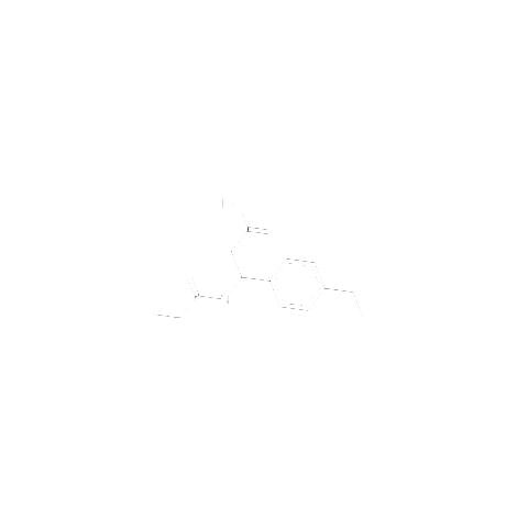 CCC(=O)NC(CC(=O)O)c1ccc(CC)cc1